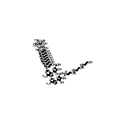 CNCCO.CNCCO.CNCCO.CNCCO.CNCCO.CNCCO.CNCCO.CNCCO.CNCCO.CNCCO.Nc1ncnc2c1ncn2[C@@H]1O[C@H](CO)[C@@H](O)[C@H]1O.Nc1ncnc2c1ncn2[C@@H]1O[C@H](CO)[C@@H](O)[C@H]1O.O=P(O)(O)OP(=O)(O)O.O=P(O)(O)OP(=O)(O)OP(=O)(O)O